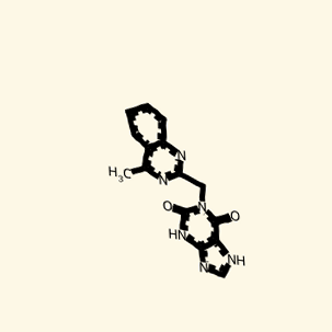 Cc1nc(Cn2c(=O)[nH]c3nc[nH]c3c2=O)nc2ccccc12